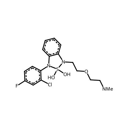 CNCCOCCN1c2ccccc2N(c2ccc(F)cc2Cl)S1(O)O